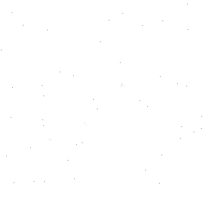 CC(C)(C=O)c1ccc(-n2ccc3cc(NCCO[Si](C)(C)C(C)(C)C)ccc32)cn1